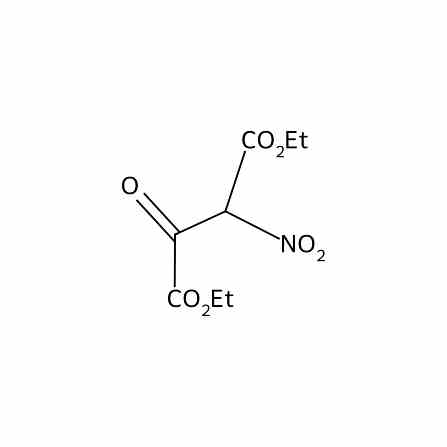 CCOC(=O)C(=O)C(C(=O)OCC)[N+](=O)[O-]